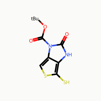 CC(C)(C)OC(=O)n1c(=O)[nH]c2c(S)scc21